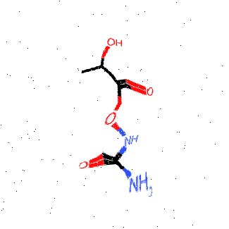 CC(O)C(=O)ONC(N)=O